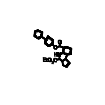 CCOC(=O)C1Nc2c(C(=O)Oc3ccc(-c4ccccc4)cc3)cccc2C2C=CCC12